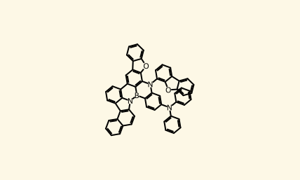 c1ccc(N(c2ccccc2)c2ccc3c(c2)N(c2cccc4c2oc2ccccc24)c2c4c(cc5c2oc2ccccc25)-c2cccc5c6c7ccccc7ccc6n(c25)B34)cc1